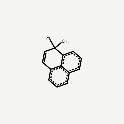 CC1(Cl)C=Cc2cccc3cccc1c23